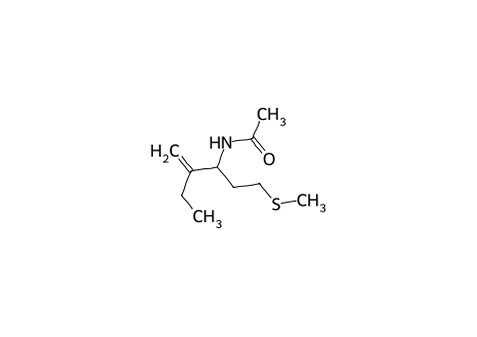 C=C(CC)C(CCSC)NC(C)=O